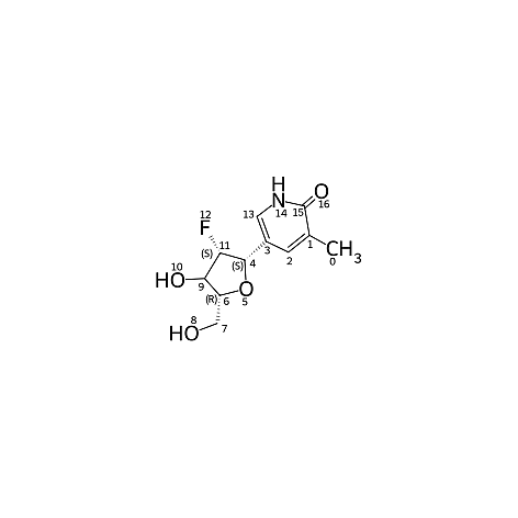 Cc1cc([C@@H]2O[C@H](CO)C(O)[C@@H]2F)c[nH]c1=O